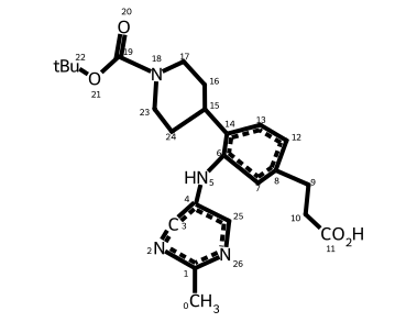 Cc1ncc(Nc2cc(CCC(=O)O)ccc2C2CCN(C(=O)OC(C)(C)C)CC2)cn1